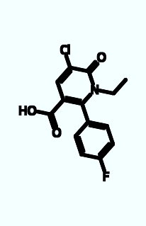 CCn1c(-c2ccc(F)cc2)c(C(=O)O)cc(Cl)c1=O